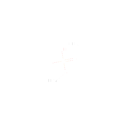 O=P(O)(O)O[SiH3].[LiH].[Ti]